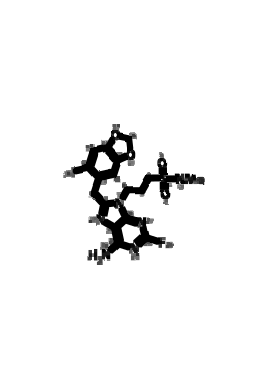 CNS(=O)(=O)CCCn1c(Cc2cc3c(cc2I)OCO3)nc2c(N)nc(F)nc21